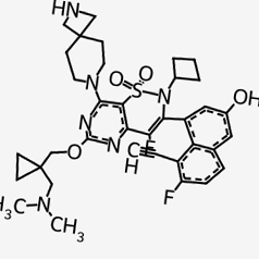 C#Cc1c(F)ccc2cc(O)cc(C3=C(F)c4nc(OCC5(CN(C)C)CC5)nc(N5CCC6(CC5)CNC6)c4S(=O)(=O)N3C3CCC3)c12